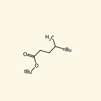 CCCCC(C)CCC(=O)OC(C)(C)C